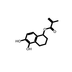 C=C(C)C(=O)OC1CCCc2c1ccc(O)c2O